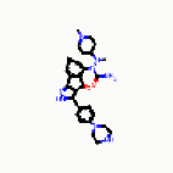 CN1CCC(N(C)N(C(N)=O)c2cccc3c2C(=O)c2c-3n[nH]c2-c2ccc(N3CCNCC3)cc2)CC1